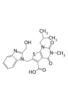 CC(C)Cn1c(=O)n(C)c(=O)c2c(C(=O)O)c(Cn3c(CO)nc4ccccc43)sc21